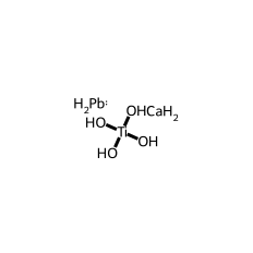 [CaH2].[OH][Ti]([OH])([OH])[OH].[PbH2]